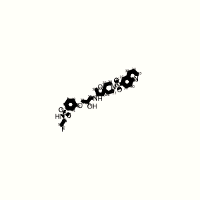 O=S(=O)(NCCF)c1cccc(OC[C@@H](O)CN[C@H]2COC3(CCN(S(=O)(=O)c4ccc5ncccc5c4)CC3)C2)c1